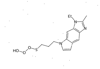 CCn1c(C)nc2cc3ccn(CCCSOOO)c3cc21